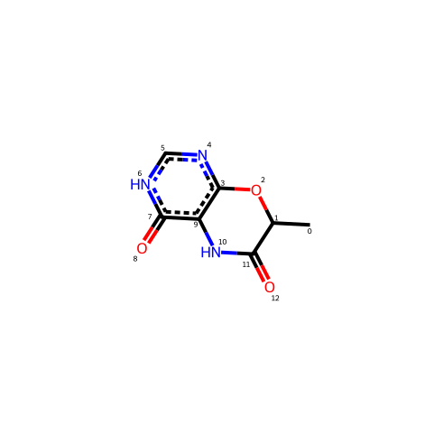 CC1Oc2nc[nH]c(=O)c2NC1=O